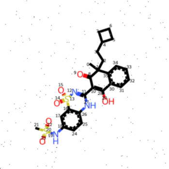 CC1(CCC2CCC2)C(=O)C(C2=NS(=O)(=O)c3cc(NS(C)(=O)=O)ccc3N2)=C(O)c2ccccc21